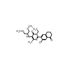 CCn1c(-c2cc3c(cc2Cl)C(=O)CCC3)nc(C)c(NC(COC)COC)c1=O